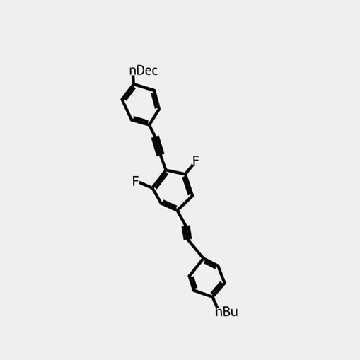 CCCCCCCCCCc1ccc(C#Cc2c(F)cc(C#Cc3ccc(CCCC)cc3)cc2F)cc1